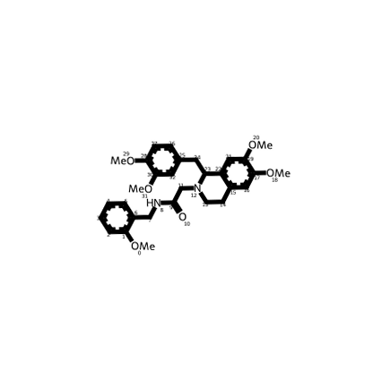 COc1ccccc1CNC(=O)CN1CCc2cc(OC)c(OC)cc2C1Cc1ccc(OC)c(OC)c1